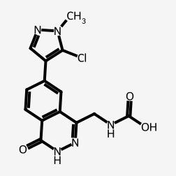 Cn1ncc(-c2ccc3c(=O)[nH]nc(CNC(=O)O)c3c2)c1Cl